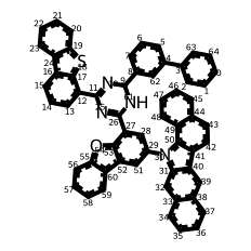 c1ccc(-c2cccc(C3N=C(c4cccc5c4sc4ccccc45)N=C(c4cc(-n5c6cc7ccccc7cc6c6ccc7ccccc7c65)cc5c4oc4ccccc45)N3)c2)cc1